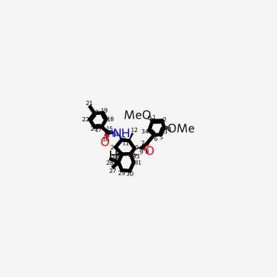 COc1cc(OC)cc(C2OC2[C@H]2[C@H](C)[C@H](NC(=O)c3ccc(C)cc3)C[C@H]3C(C)(C)CCC[C@]23C)c1